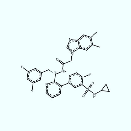 Cc1cc2ncn(CC(=O)N[C@@H](Cc3cc(F)cc(F)c3)c3ncccc3-c3ccc(F)c(S(=O)(=O)NC4CC4)c3)c2cc1C